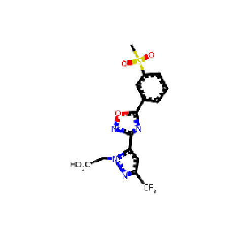 CS(=O)(=O)c1cccc(-c2nc(-c3cc(C(F)(F)F)nn3CC(=O)O)no2)c1